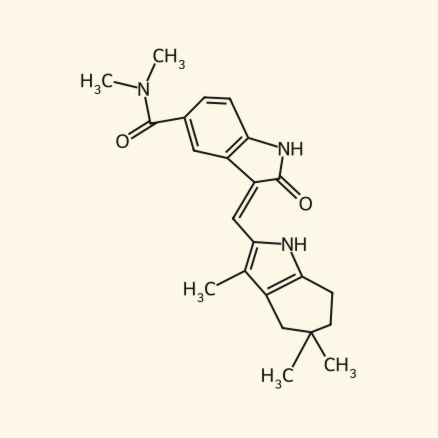 Cc1c(/C=C2\C(=O)Nc3ccc(C(=O)N(C)C)cc32)[nH]c2c1CC(C)(C)CC2